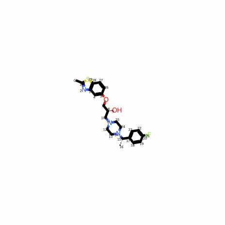 Cc1nc2cc(OC[C@H](O)CN3C[CH]N([C@@H](C)c4ccc(F)cc4)CC3)ccc2s1